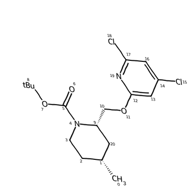 C[C@@H]1CCN(C(=O)OC(C)(C)C)[C@H](COc2cc(Cl)cc(Cl)n2)C1